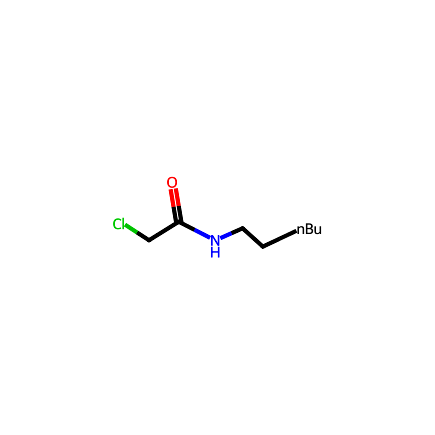 [CH2]CCCCCNC(=O)CCl